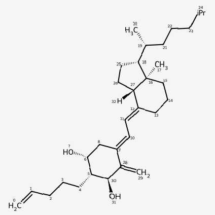 C=CCCC[C@@H]1[C@H](O)CC(=CC=C2CCC[C@]3(C)[C@@H]([C@H](C)CCCC(C)C)CC[C@@H]23)C(=C)[C@H]1O